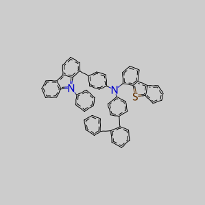 c1ccc(-c2ccccc2-c2ccc(N(c3ccc(-c4cccc5c6ccccc6n(-c6ccccc6)c45)cc3)c3cccc4c3sc3ccccc34)cc2)cc1